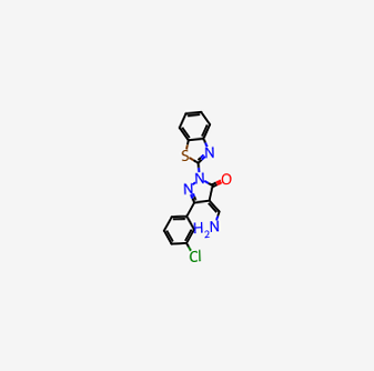 N/C=C1/C(=O)N(c2nc3ccccc3s2)N=C1c1cccc(Cl)c1